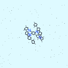 Cc1ccc(-c2ccc3c4ccc(-c5ccc(C)cc5C)cc4n(-c4cc(-c5cc(C)nc(C)c5)c(-n5c6cc(-c7ccc(C)cc7C)ccc6c6ccc(-c7ccc(C)cc7C)cc65)cc4C#N)c3c2)c(C)c1